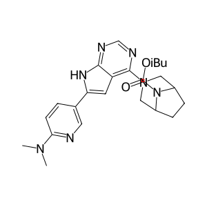 CC(C)COC(=O)N1C2CCC1CN(c1ncnc3[nH]c(-c4ccc(N(C)C)nc4)cc13)C2